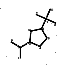 CC(C)C1CCC(C(C)(C)C)C1